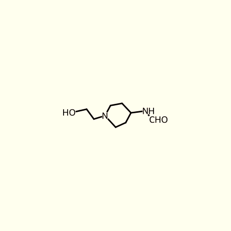 O=CNC1CCN(CCO)CC1